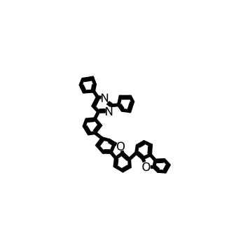 c1ccc(-c2cc(-c3cccc(-c4ccc5c(c4)oc4c(-c6cccc7c6oc6ccccc67)cccc45)c3)nc(-c3ccccc3)n2)cc1